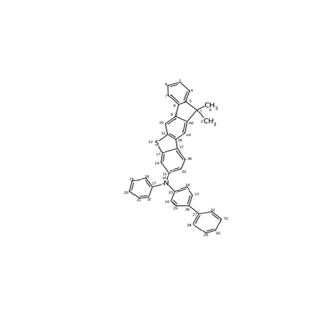 CC1(C)c2ccccc2-c2cc3sc4cc(N(c5ccccc5)c5ccc(-c6ccccc6)cc5)ccc4c3cc21